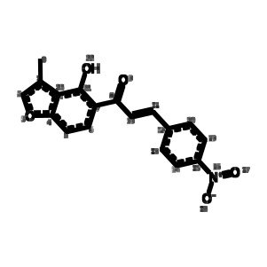 Cc1coc2ccc(C(=O)/C=C/c3ccc([N+](=O)[O-])cc3)c(O)c12